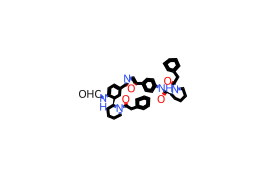 O=CNC1=CC=C(c2ncc(-c3ccc(NC(=O)[C@@H]4CCCCN4C(=O)Cc4ccccc4)cc3)o2)CC1[C@@H]1CCCCN1C(=O)Cc1ccccc1